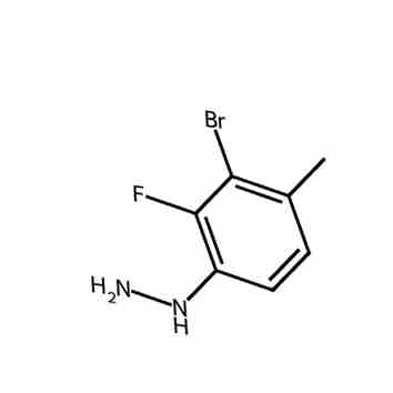 Cc1ccc(NN)c(F)c1Br